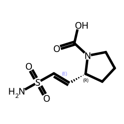 NS(=O)(=O)/C=C/[C@H]1CCCN1C(=O)O